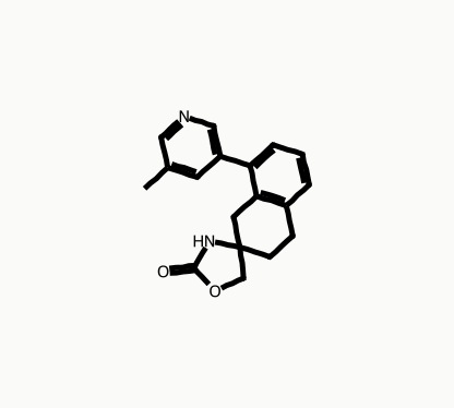 Cc1cncc(-c2cccc3c2CC2(CC3)COC(=O)N2)c1